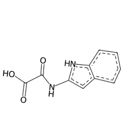 O=C(O)C(=O)Nc1cc2ccccc2[nH]1